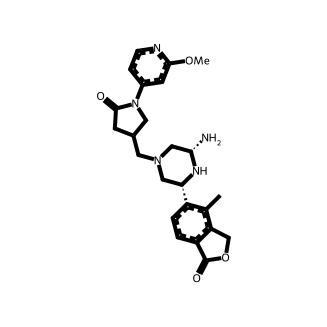 COc1cc(N2CC(CN3C[C@@H](c4ccc5c(c4C)COC5=O)N[C@@H](N)C3)CC2=O)ccn1